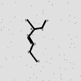 CCC=CC(C)CC